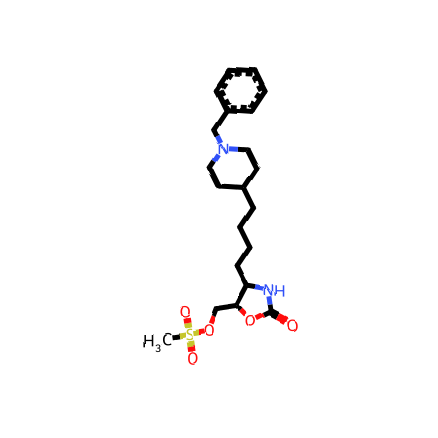 CS(=O)(=O)OCC1OC(=O)NC1CCCCC1CCN(Cc2ccccc2)CC1